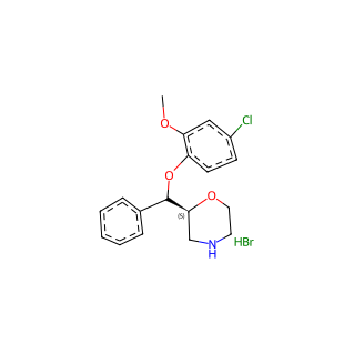 Br.COc1cc(Cl)ccc1OC(c1ccccc1)[C@@H]1CNCCO1